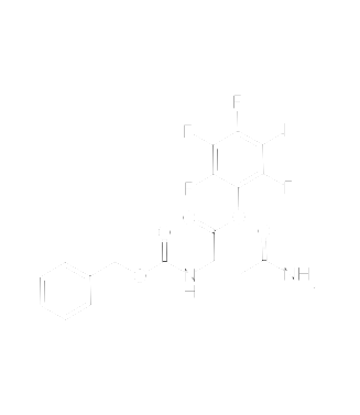 NC(=O)C[C@H](NC(=O)OCc1ccccc1)C(=O)Oc1c(F)c(F)c(F)c(F)c1F